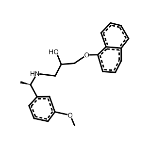 COc1cccc([C@@H](C)NCC(O)COc2cccc3ccccc23)c1